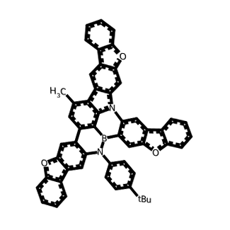 Cc1cc2c3c4c1c1cc5c(cc1n4-c1cc4c(cc1B3N(c1ccc(C(C)(C)C)cc1)c1cc3c(cc1-2)oc1ccccc13)oc1ccccc14)oc1ccccc15